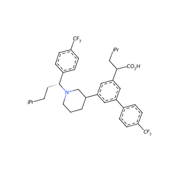 CC(C)CC[C@H](c1ccc(C(F)(F)F)cc1)N1CCCC(c2cc(-c3ccc(C(F)(F)F)cc3)cc(C(CC(C)C)C(=O)O)c2)C1